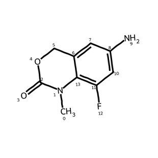 CN1C(=O)OCc2cc(N)cc(F)c21